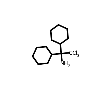 NC(C1CCCCC1)(C1CCCCC1)C(Cl)(Cl)Cl